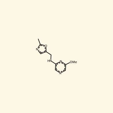 COc1cncc(NCc2cnc(C)o2)n1